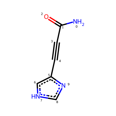 NC(=O)C#Cc1c[nH]cn1